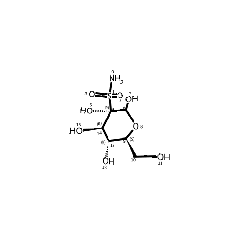 NS(=O)(=O)[C@@]1(O)C(O)O[C@@H](CO)[C@H](O)[C@H]1O